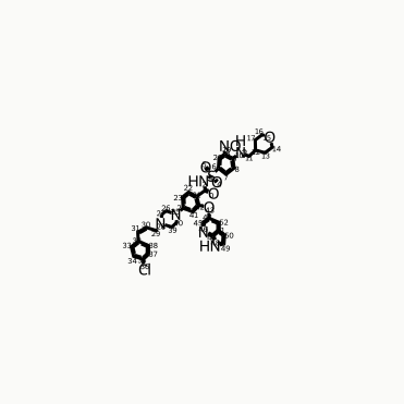 O=C(NS(=O)(=O)c1ccc(NCC2CCOCC2)c([N+](=O)[O-])c1)c1ccc(N2CCN(C/C=C\c3ccc(Cl)cc3)CC2)cc1Oc1cnc2[nH]ccc2c1